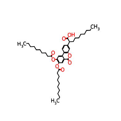 CCCCCCCCCC(=O)Oc1cc2c(=O)oc3cc(C(CCCCCCCC)C(=O)O)ccc3c2cc1OC(=O)CCCCCCCCC